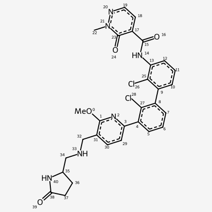 COc1nc(-c2cccc(-c3cccc(NC(=O)c4ccnn(C)c4=O)c3Cl)c2Cl)ccc1CNCC1CCC(=O)N1